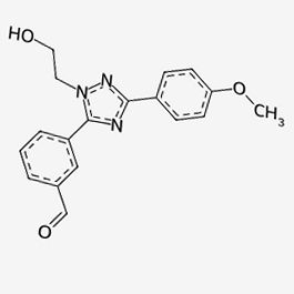 COc1ccc(-c2nc(-c3cccc(C=O)c3)n(CCO)n2)cc1